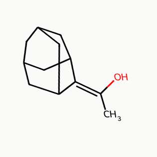 CC(O)=C1C2CC3CC(C2)CC1C3